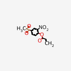 C=CC(=O)Oc1ccc(S(C)(=O)=O)cc1[N+](=O)[O-]